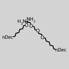 CCCCCCCCCCCCCCCCOCCOCCOCC(N)(N)OCCCCCCCCCCCCCCCC